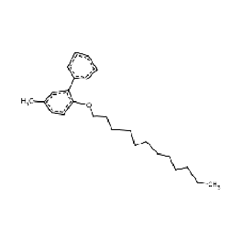 CCCCCCCCCCCCOc1ccc(C)cc1-c1ccccc1